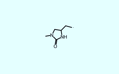 [CH2]CC1CN(C)C(=O)N1